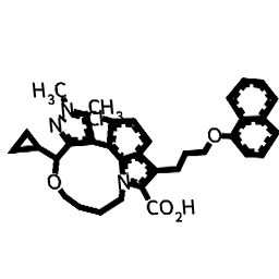 Cc1c2c(nn1C)C(C1CC1)OCCCCn1c(C(=O)O)c(CCCOc3cccc4ccccc34)c3ccc(Cl)c-2c31